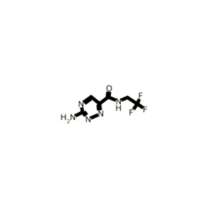 Nc1ncc(C(=O)NCC(F)(F)F)nn1